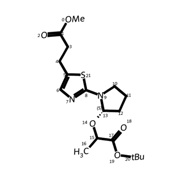 COC(=O)CCc1cnc(N2CCC[C@@H]2OC(C)C(=O)OC(C)(C)C)s1